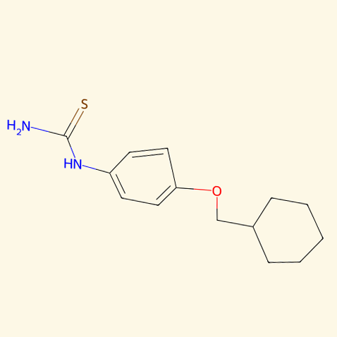 NC(=S)Nc1ccc(OCC2CCCCC2)cc1